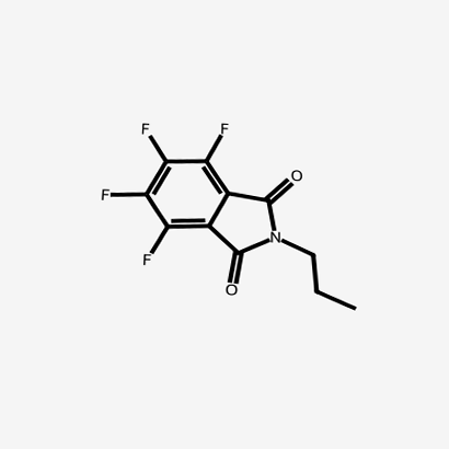 CCCN1C(=O)c2c(F)c(F)c(F)c(F)c2C1=O